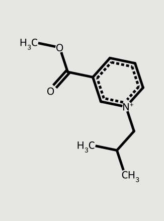 COC(=O)c1ccc[n+](CC(C)C)c1